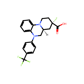 O=C(O)[C@]1(F)CCN2c3ccccc3N(c3ccc(C(F)(F)F)cc3)C[C@@H]2C1